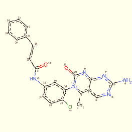 Cc1c2cnc(N)nc2nc(=O)n1-c1cc(NC(=O)C=Cc2ccccc2)ccc1Cl